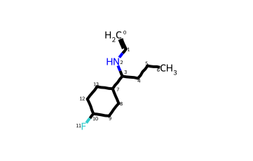 C=CNC(CCC)C1CCC(F)CC1